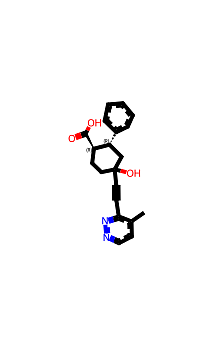 Cc1ccnnc1C#CC1(O)CC[C@@H](C(=O)O)[C@H](c2ccccc2)C1